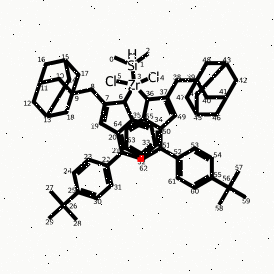 C[SiH](C)[Zr]([Cl])([Cl])([CH]1C(CC23CC4CC(CC(C4)C2)C3)=Cc2c(-c3ccc(C(C)(C)C)cc3)cccc21)[CH]1C(CC23CC4CC(CC(C4)C2)C3)=Cc2c(-c3ccc(C(C)(C)C)cc3)cccc21